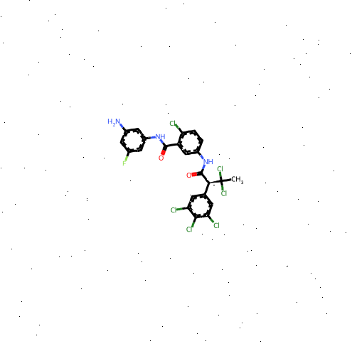 CC(Cl)(Cl)[C@H](C(=O)Nc1ccc(Cl)c(C(=O)Nc2cc(N)cc(F)c2)c1)c1cc(Cl)c(Cl)c(Cl)c1